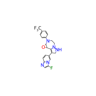 Fc1cnc2ccc(C3=C4C5OC5N(c5ccc(C(F)(F)F)cc5)CCN4NC3)cn12